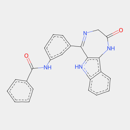 O=C1CN=C(c2cccc(NC(=O)c3ccccc3)c2)c2[nH]c3ccccc3c2N1